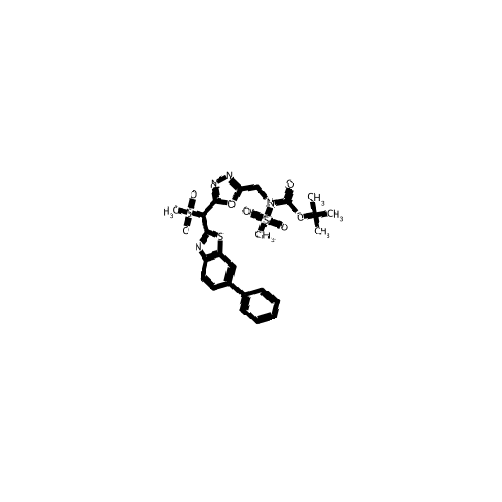 CC(C)(C)OC(=O)N(Cc1nnc(C(c2nc3ccc(-c4ccccc4)cc3s2)S(C)(=O)=O)o1)S(C)(=O)=O